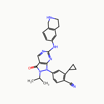 CC(C)n1c(=O)c2cnc(Nc3ccc4c(c3)CCNC4)nc2n1-c1ccc(C#N)c(C2CC2)c1